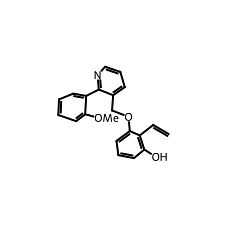 C=Cc1c(O)cccc1OCc1cccnc1-c1ccccc1OC